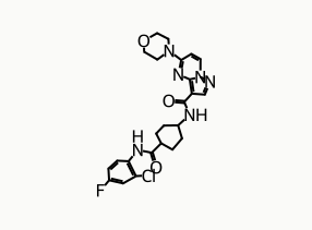 O=C(NC1CCC(C(=O)Nc2ccc(F)cc2Cl)CC1)c1cnn2ccc(N3CCOCC3)nc12